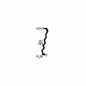 CC(N)=O.CCCCCCCC/C=C\CCCCCCCC(N)=O